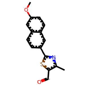 COc1ccc2cc(-c3nc(C)c([C]=O)s3)ccc2c1